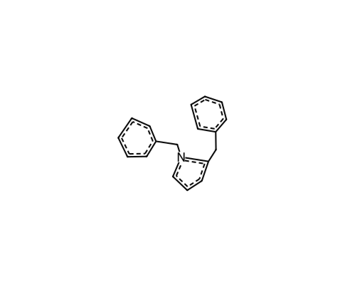 c1ccc(Cc2cccn2Cc2ccccc2)cc1